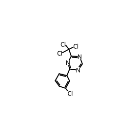 Clc1cccc(-c2ncnc(C(Cl)(Cl)Cl)n2)c1